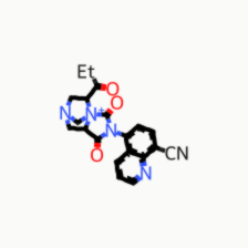 CCC(=O)C1CN2CC3C(=O)N(c4ccc(C#N)c5ncccc45)C(=O)[N+]13C2